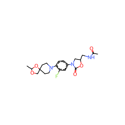 CC(=O)NCC1CN(c2ccc(N3CCC4(CC3)COC(C)O4)c(F)c2)C(=O)O1